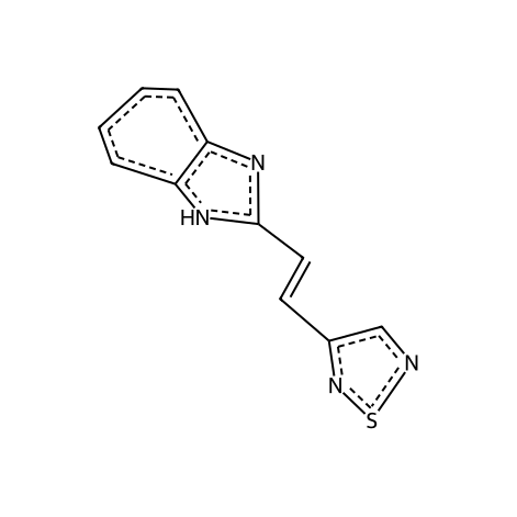 C(=Cc1nc2ccccc2[nH]1)c1cnsn1